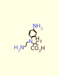 C[C@@H](C(=O)O)N(CCN)c1ccc(N)cc1